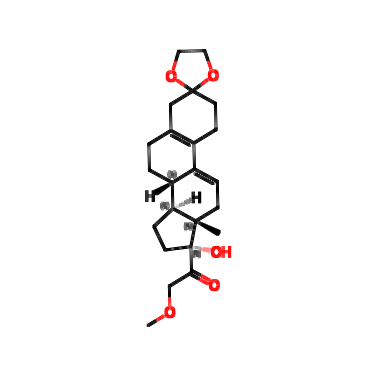 COCC(=O)[C@@]1(O)CC[C@H]2[C@@H]3CCC4=C(CCC5(C4)OCCO5)C3=CC[C@@]21C